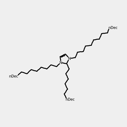 CCCCCCCCCCCCCCCCCCCN1C=CN(CCCCCCCCCCCCCCCCCC)C1CCCCCCCCCCCCCCCC